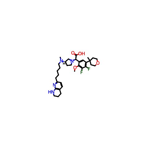 COc1c(C(C(=O)O)N2CC[C@@H](N(C)CCCCCc3ccc4c(n3)NCCC4)C2)cc(C2(C)CCOCC2)c(F)c1F